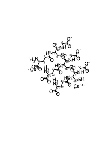 NC(CCC(=O)NC(CS)C(=O)NCC(=O)[O-])C(=O)[O-].NC(CCC(=O)NC(CS)C(=O)NCC(=O)[O-])C(=O)[O-].NC(CCC(=O)NC(CS)C(=O)NCC(=O)[O-])C(=O)[O-].[Ce+3].[Ce+3]